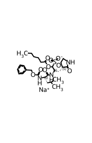 CCCCCC(=O)OC([C@H](C[C@@H]1CCNC1=O)NC(=O)[C@H](CC(C)C)NC(=O)OCc1ccccc1)S(=O)(=O)[O-].[Na+]